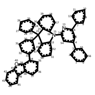 c1ccc(-c2cc(-c3ccccc3)nc(N3c4ccccc4C(c4ccccc4)(c4cccc(-c5cccc6c5oc5ccccc56)c4)c4ccccc43)c2)cc1